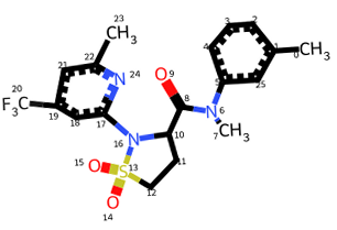 Cc1cccc(N(C)C(=O)C2CCS(=O)(=O)N2c2cc(C(F)(F)F)cc(C)n2)c1